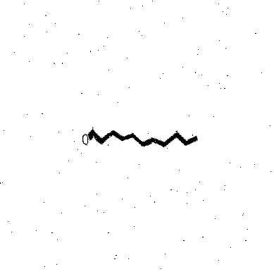 CC[CH]CCCCCCC[C]=O